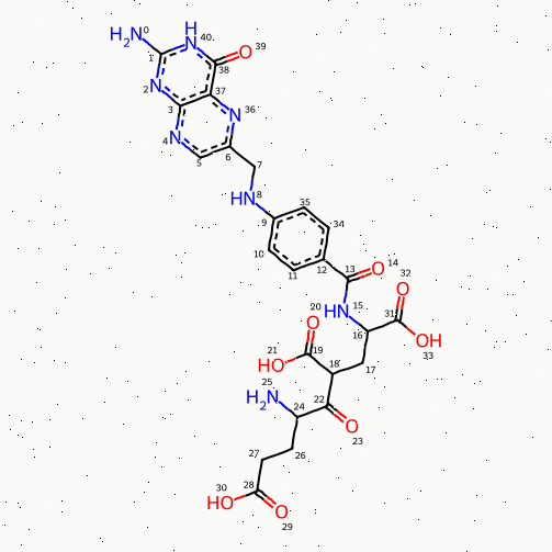 Nc1nc2ncc(CNc3ccc(C(=O)NC(CC(C(=O)O)C(=O)C(N)CCC(=O)O)C(=O)O)cc3)nc2c(=O)[nH]1